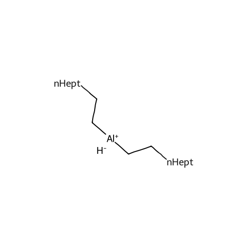 CCCCCCCC[CH2][Al+][CH2]CCCCCCCC.[H-]